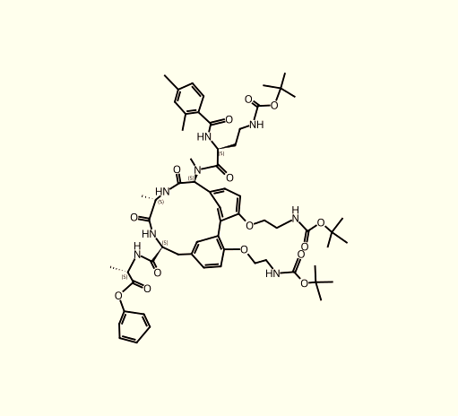 Cc1ccc(C(=O)N[C@@H](CCNC(=O)OC(C)(C)C)C(=O)N(C)[C@@H]2C(=O)N[C@@H](C)C(=O)N[C@H](C(=O)N[C@@H](C)C(=O)Oc3ccccc3)Cc3ccc(OCCNC(=O)OC(C)(C)C)c(c3)-c3cc2ccc3OCCNC(=O)OC(C)(C)C)c(C)c1